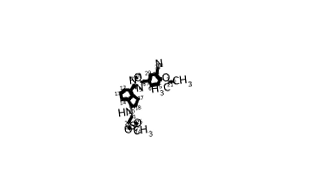 CC(C)Oc1ccc(-c2nc(-c3cccc4c3CC[C@@H]4NCCS(C)(=O)=O)no2)cc1C#N